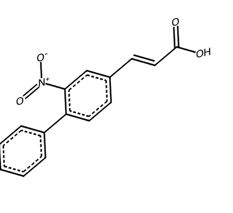 O=C(O)/C=C/c1ccc(-c2ccccc2)c([N+](=O)[O-])c1